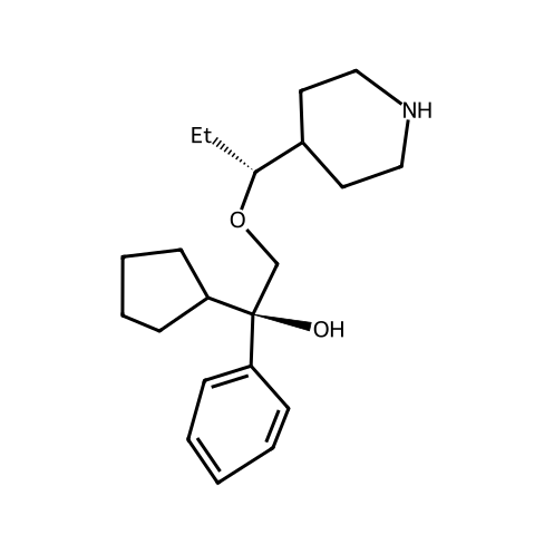 CC[C@@H](OC[C@](O)(c1ccccc1)C1CCCC1)C1CCNCC1